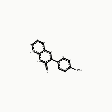 COc1ccc(-c2cc3cccnc3oc2=O)cc1